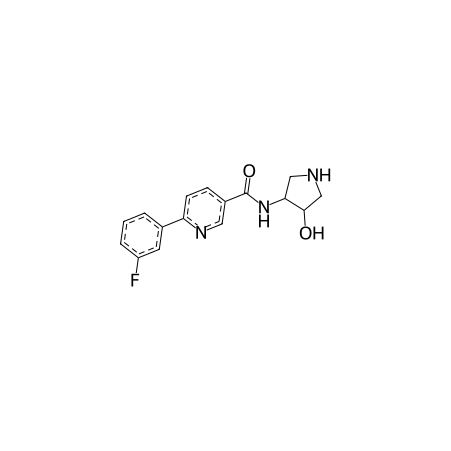 O=C(NC1CNCC1O)c1ccc(-c2cccc(F)c2)nc1